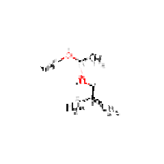 C=C(C)COC(C)O[CH]CC